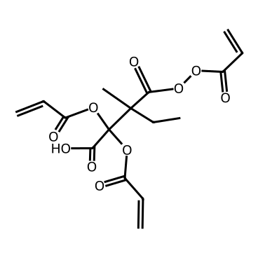 C=CC(=O)OOC(=O)C(C)(CC)C(OC(=O)C=C)(OC(=O)C=C)C(=O)O